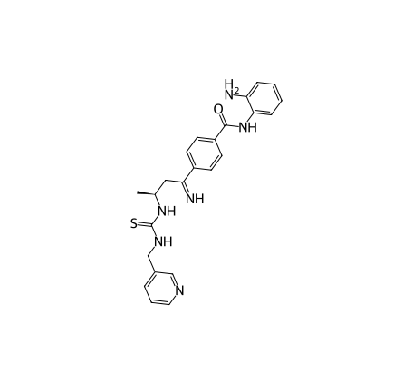 C[C@@H](CC(=N)c1ccc(C(=O)Nc2ccccc2N)cc1)NC(=S)NCc1cccnc1